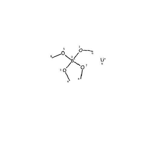 CO[B-](OC)(OC)OC.[Li+]